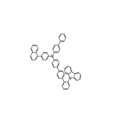 c1ccc(-c2ccc(N(c3ccc(-c4ccc(-c5ccccc5-n5c6ccccc6c6ccccc65)cc4)cc3)c3ccc(-c4cccc5ccccc45)cc3)cc2)cc1